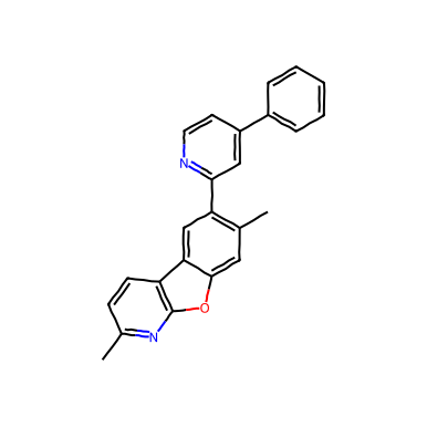 Cc1ccc2c(n1)oc1cc(C)c(-c3cc(-c4ccccc4)ccn3)cc12